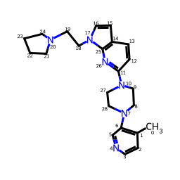 Cc1ccncc1N1CCN(c2ccc3ccn(CCN4CCCC4)c3n2)CC1